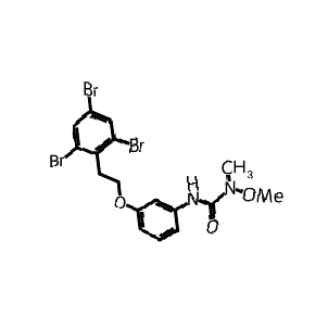 CON(C)C(=O)Nc1cccc(OCCc2c(Br)cc(Br)cc2Br)c1